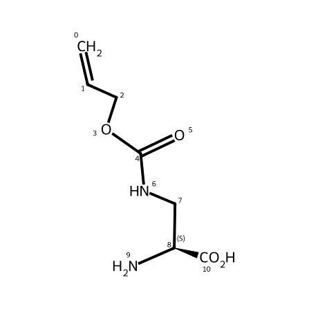 C=CCOC(=O)NC[C@H](N)C(=O)O